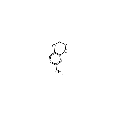 Cc1ccc2c(c1)O[CH]CO2